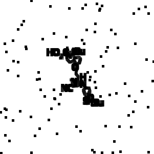 Cn1c(C#N)cc(Nc2ccc(O[Si](C)(C)C(C)(C)C)cc2)c1CCCOc1cccc2c1CCN(C(=O)O)C2C(C)(C)C